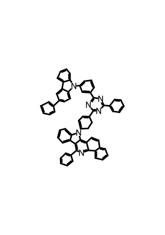 C1=C(c2nc(-c3ccccc3)nc(-c3cccc(-n4c5ccccc5c5cc(-c6ccccc6)ccc54)c3)n2)CCC(n2c3ccccc3c3c(-c4ccccc4)nc4c5ccccc5ccc4c32)=C1